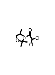 CC1COC(C)(C)N1C(=O)C(Cl)Cl